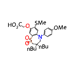 CCCCC1(CCCC)CN(c2ccc(OC)cc2)c2cc(SC)c(OCC(=O)O)cc2S(=O)(=O)C1